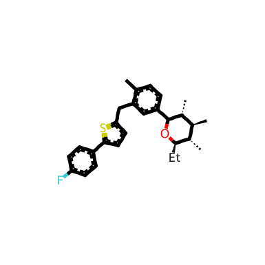 CC[C@H]1OC(c2ccc(C)c(Cc3ccc(-c4ccc(F)cc4)s3)c2)[C@H](C)[C@@H](C)[C@@H]1C